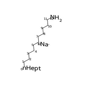 CCCCCCCCCCCCCCCCCCN.[Na]